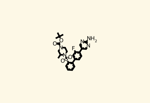 CC1CN(C(=O)OC(C)(C)C)CCN1S(=O)(=O)c1ccccc1-c1ccc(-c2cnc(N)nc2)c(F)c1